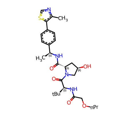 CCCOCC(=O)N[C@H](C(=O)N1C[C@H](O)C[C@H]1C(=O)N[C@@H](C)c1ccc(-c2scnc2C)cc1)C(C)(C)C